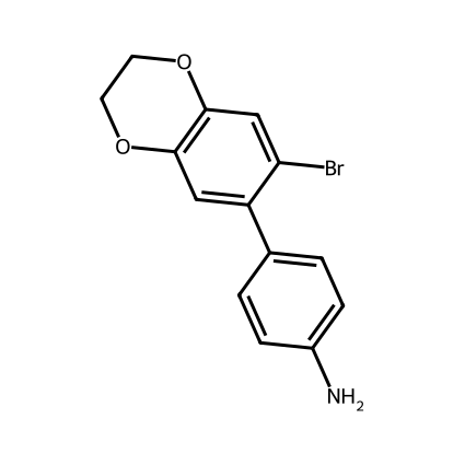 Nc1ccc(-c2cc3c(cc2Br)OCCO3)cc1